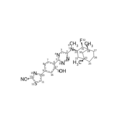 CN(c1cnc(-c2ccc(-c3csc(C#N)n3)cc2O)nn1)[C@@H]1C[C@@]2(C)CCC[C@](C)(C2)[C@@H]1F